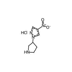 Cl.O=[N+]([O-])c1cnn(C2CCNC2)c1